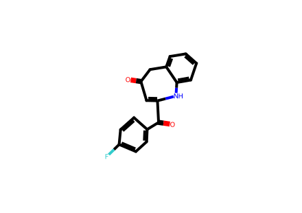 O=C1C=C(C(=O)c2ccc(F)cc2)Nc2ccccc2C1